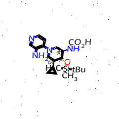 CC(C)(C)[Si](C)(C)O[C@@H]1[C@@H](C2CC2)CN(c2ccncc2N)C[C@H]1NC(=O)O